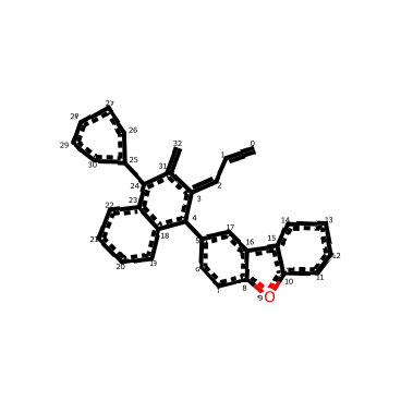 C=C/C=c1/c(-c2ccc3oc4ccccc4c3c2)c2ccccc2c(-c2ccccc2)c1=C